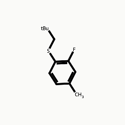 Cc1ccc(SCC(C)(C)C)c(F)c1